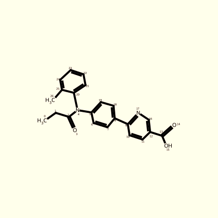 CCC(=O)N(c1ccc(-c2ccc(C(=O)O)cn2)cc1)c1ccccc1C